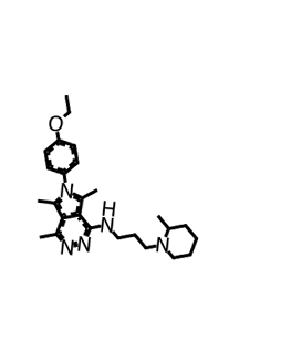 CCOc1ccc(-n2c(C)c3c(C)nnc(NCCCN4CCCCC4C)c3c2C)cc1